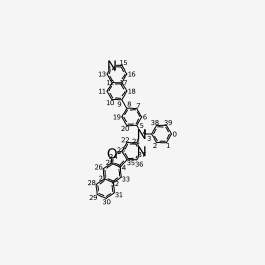 c1ccc(N(c2ccc(-c3ccc4cnccc4c3)cc2)c2cc3oc4cc5ccccc5cc4c3cn2)cc1